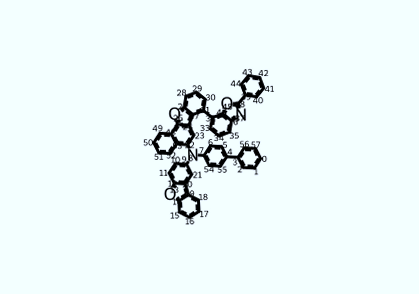 c1ccc(-c2ccc(N(c3ccc4oc5ccccc5c4c3)c3cc4c(oc5cccc(-c6cccc7nc(-c8ccccc8)oc67)c54)c4ccccc34)cc2)cc1